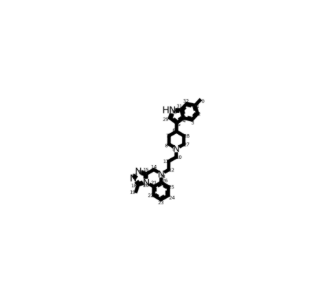 Cc1ccc2c(C3CCN(CCCN4Cc5nnc(C)n5-c5ccccc54)CC3)c[nH]c2c1